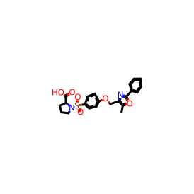 Cc1oc(-c2ccccc2)nc1COc1ccc(S(=O)(=O)N2CCCC2C(=O)O)cc1